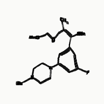 CN/C(=C(\C)OCOC)c1cc(F)cc(N2CCN(C(C)(C)C)CC2)c1